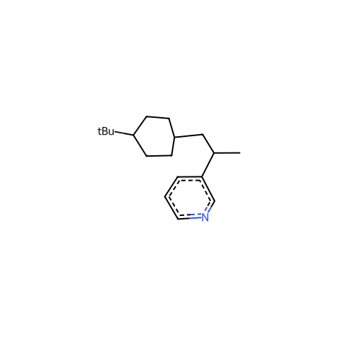 CC(CC1CCC(C(C)(C)C)CC1)c1cccnc1